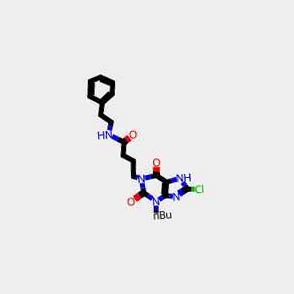 CCCCn1c(=O)n(CCCC(=O)NCCc2ccccc2)c(=O)c2[nH]c(Cl)nc21